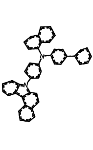 c1ccc(-c2ccc(N(c3ccc(-n4c5ccccc5c5c6ccccc6ccc54)cc3)c3cccc4ccccc34)cc2)cc1